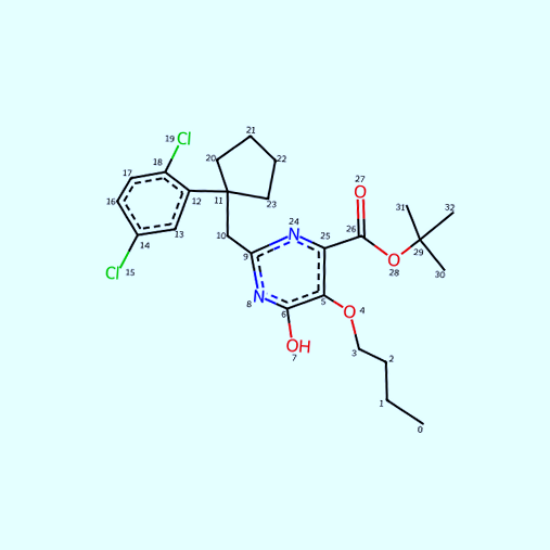 CCCCOc1c(O)nc(CC2(c3cc(Cl)ccc3Cl)CCCC2)nc1C(=O)OC(C)(C)C